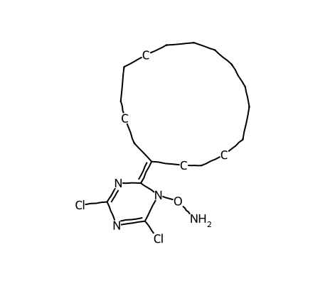 NON1C(Cl)=NC(Cl)=NC1=C1CCCCCCCCCCCCCCC1